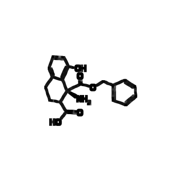 N[C@]1(C(=O)OCc2ccccc2)c2c(O)cccc2CCC1C(=O)O